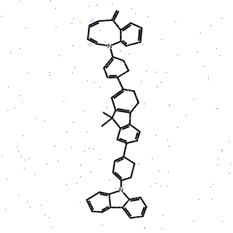 C=C1/C=C\C=C/N(C2=CC=C(C3=CC4=C(CC3)c3ccc(C5=CC=C(n6c7ccccc7c7ccccc76)CC5)cc3C4(C)C)CC2)c2ccccc21